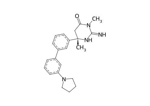 CN1C(=N)N[C@](C)(c2cccc(-c3cccc(N4CCCC4)c3)c2)CC1=O